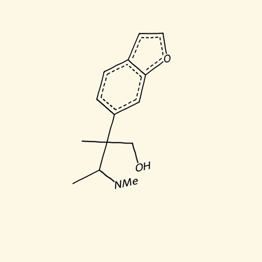 CNC(C)C(C)(CO)c1ccc2ccoc2c1